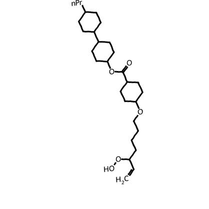 C=CC(CCCCOC1CCC(C(=O)OC2CCC(C3CCC(CCC)CC3)CC2)CC1)OO